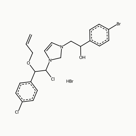 Br.C=CCOC(c1ccc(Cl)cc1)C(Cl)N1C=CN(CC(O)c2ccc(Br)cc2)C1